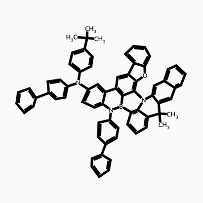 CC(C)(C)c1ccc(N(c2ccc(-c3ccccc3)cc2)c2ccc3c(c2)-c2cc4c(oc5ccccc54)c4c2B(c2cccc5c2N4c2cc4ccccc4cc2C5(C)C)N3c2ccc(-c3ccccc3)cc2)cc1